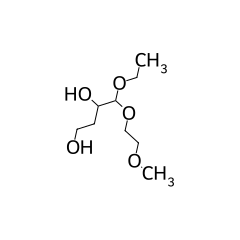 CCOC(OCCOC)C(O)CCO